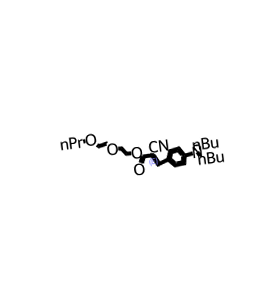 CCCCN(CCCC)c1ccc(/C=C(\C#N)C(=O)OCCOCCOCCC)cc1